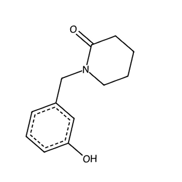 O=C1CCCCN1Cc1cccc(O)c1